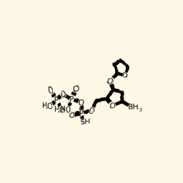 BC1CC(OC2CCCO2)C(COP(=O)(S)OP(=O)(O)OP(=O)(O)O)O1